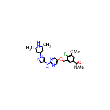 CNC(=O)c1cc(COc2cnc(Nc3cnn(C4C[C@@H](C)N[C@@H](C)C4)c3)nc2)c(F)c(OC)c1